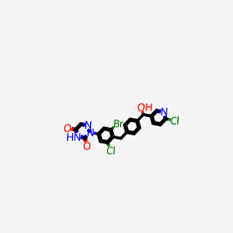 O=c1cnn(-c2cc(Cl)c(Cc3ccc(C(O)c4ccc(Cl)nc4)cc3)c(Br)c2)c(=O)[nH]1